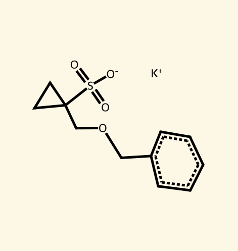 O=S(=O)([O-])C1(COCc2ccccc2)CC1.[K+]